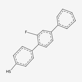 Fc1cc(-c2ccccc2)ccc1-c1ccc(S)cc1